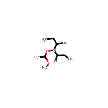 CCC(C)[SiH](OC(C)OC)C(C)CC